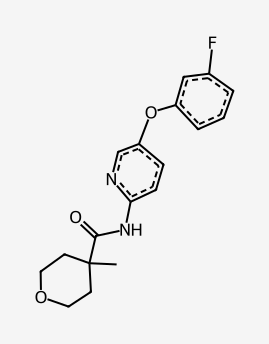 CC1(C(=O)Nc2ccc(Oc3cccc(F)c3)cn2)CCOCC1